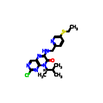 CCSc1ccc(CNc2nc3cnc(Cl)nc3n([C@@H](C)C(C)C)c2=O)nc1